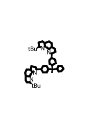 CC(C)(C)c1ccc2ccc3ccc(-c4ccc(C(C)(c5ccccc5)c5ccc(-c6ccc7ccc8ccc(C(C)(C)C)nc8c7n6)cc5)cc4)nc3c2n1